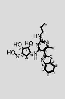 CCCNc1nc(C)c(-c2nc3ccccc3s2)c(N[C@@H]2C[C@H](CO)[C@@H](O)[C@H]2O)n1